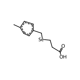 Cc1ccc(C[Se]CCC(=O)O)cc1